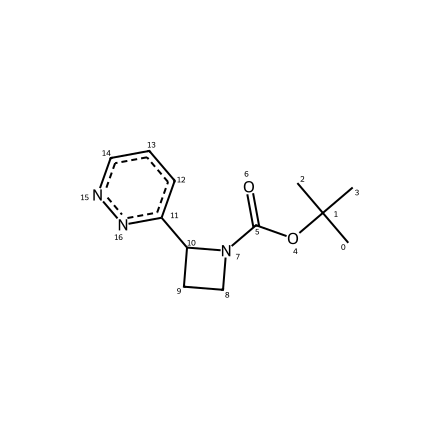 CC(C)(C)OC(=O)N1CCC1c1cccnn1